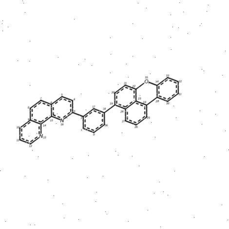 c1cc(-c2ccc3ccc4cccnc4c3n2)cc(-c2ccc3c4c(cccc24)-c2ccccc2O3)c1